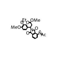 CCOc1cc(C(CC(=O)OC)N2C(=O)c3cccc(N(C)C(C)=O)c3C2=O)ccc1OC